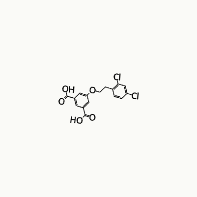 O=C(O)c1cc(OCCc2ccc(Cl)cc2Cl)cc(C(=O)O)c1